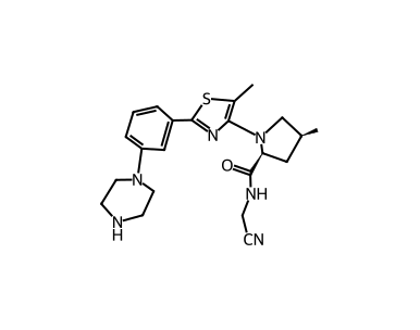 Cc1sc(-c2cccc(N3CCNCC3)c2)nc1N1C[C@@H](C)C[C@H]1C(=O)NCC#N